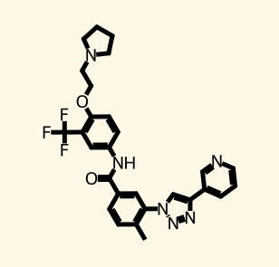 Cc1ccc(C(=O)Nc2ccc(OCCN3CCCC3)c(C(F)(F)F)c2)cc1-n1cc(-c2cccnc2)nn1